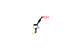 OCC#Cc1csc(CF)n1